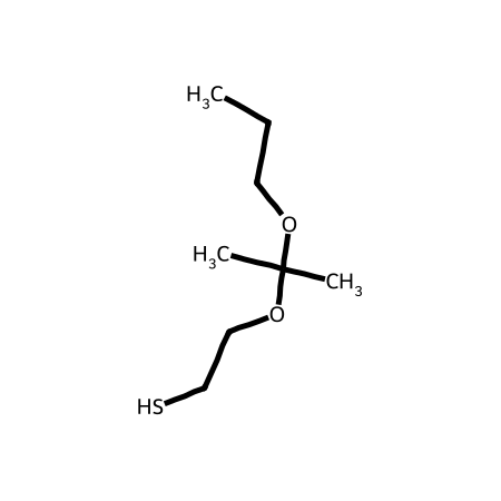 CCCOC(C)(C)OCCS